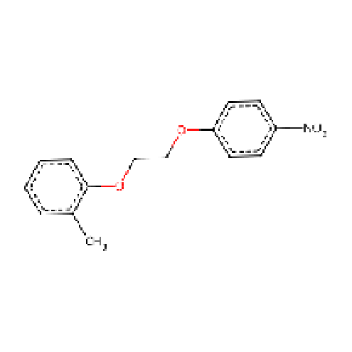 Cc1ccccc1OCCOc1ccc([N+](=O)[O-])cc1